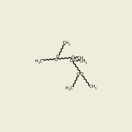 CCCCCCCCOC(CCCCCCC(OCCC)OC(CCCCCCC(OCCCCCCCC)OCCCCCCCC)OCCC)OCCCCCCCC